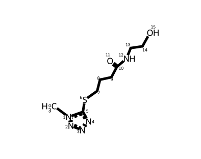 Cn1nnnc1SCCCC(=O)NCCO